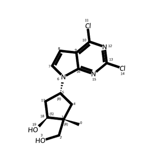 C[C@]1(CO)C[C@@H](n2ccc3c(Cl)nc(Cl)nc32)C[C@@H]1O